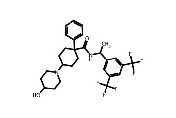 CC(NC(=O)C1(c2ccccc2)CCC(N2CCC(O)CC2)CC1)c1cc(C(F)(F)F)cc(C(F)(F)F)c1